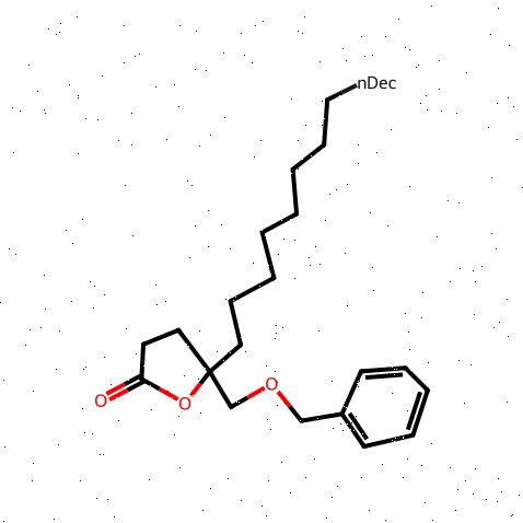 CCCCCCCCCCCCCCCCCCC1(COCc2ccccc2)CCC(=O)O1